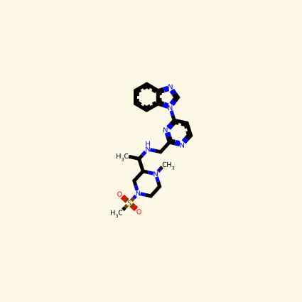 CC(NCc1nccc(-n2cnc3ccccc32)n1)C1CN(S(C)(=O)=O)CCN1C